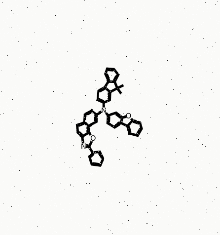 CC1(C)c2ccccc2-c2ccc(N(c3ccc4c(c3)oc3ccccc34)c3ccc4ccc5nc(-c6ccccc6)oc5c4c3)cc21